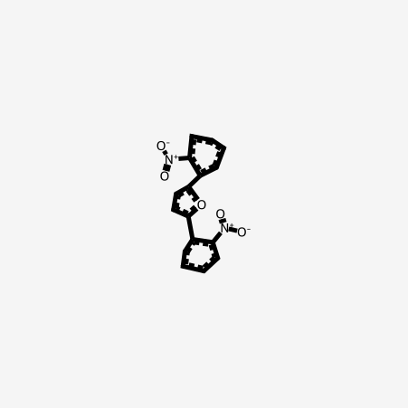 O=[N+]([O-])c1ccccc1-c1ccc(-c2ccccc2[N+](=O)[O-])o1